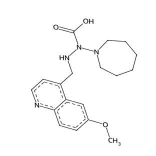 COc1ccc2nccc(CNN(C(=O)O)N3CCCCCC3)c2c1